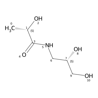 C[C@H](O)C(=O)NC[C@H](O)CO